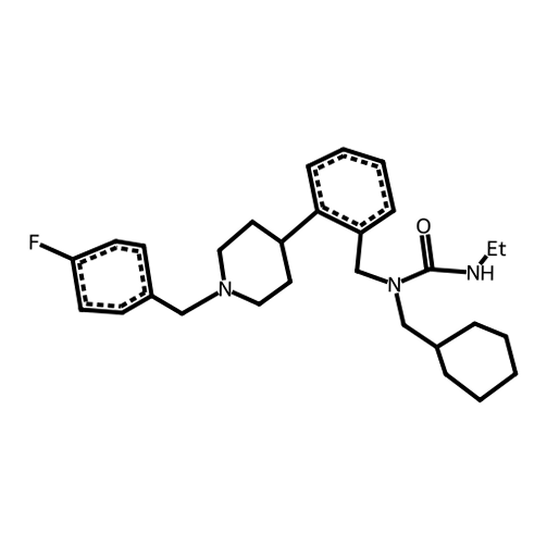 CCNC(=O)N(Cc1ccccc1C1CCN(Cc2ccc(F)cc2)CC1)CC1CCCCC1